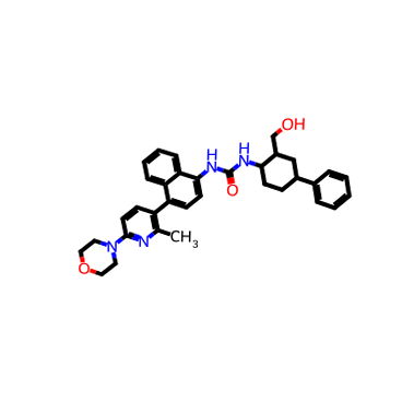 Cc1nc(N2CCOCC2)ccc1-c1ccc(NC(=O)NC2CCC(c3ccccc3)CC2CO)c2ccccc12